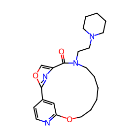 O=C1c2coc(n2)-c2ccnc(c2)OCCCCCCN1CCN1CCCCC1